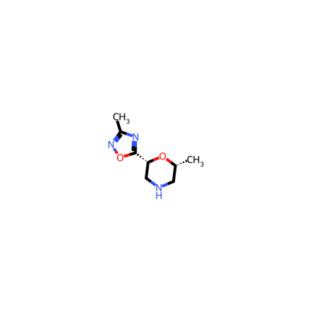 Cc1noc([C@H]2CNC[C@@H](C)O2)n1